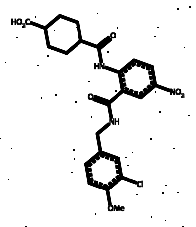 COc1ccc(CNC(=O)c2cc([N+](=O)[O-])ccc2NC(=O)C2CCC(C(=O)O)CC2)cc1Cl